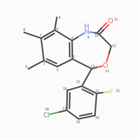 Cc1cc2c(c(C)c1C)NC(=O)COC2c1cc(Cl)ccc1F